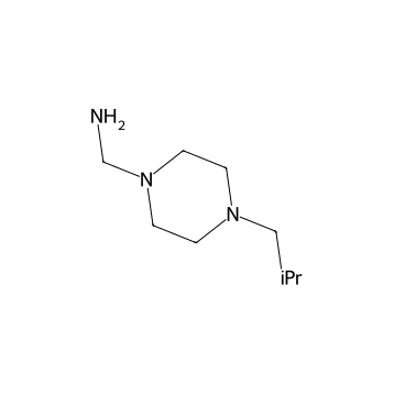 CC(C)CN1CCN(CN)CC1